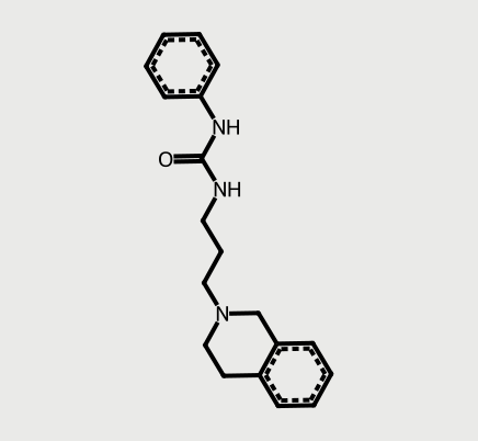 O=C(NCCCN1CCc2ccccc2C1)Nc1ccccc1